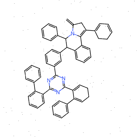 C=C1CC(C2=CC=CCC2)=C2c3ccccc3C(c3cccc(-c4nc(C5=CCCC=C5c5ccccc5)nc(-c5ccccc5-c5ccccc5)n4)c3)C(c3ccccc3)N12